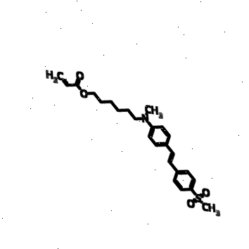 C=CC(=O)OCCCCCCN(C)c1ccc(C=Cc2ccc(S(C)(=O)=O)cc2)cc1